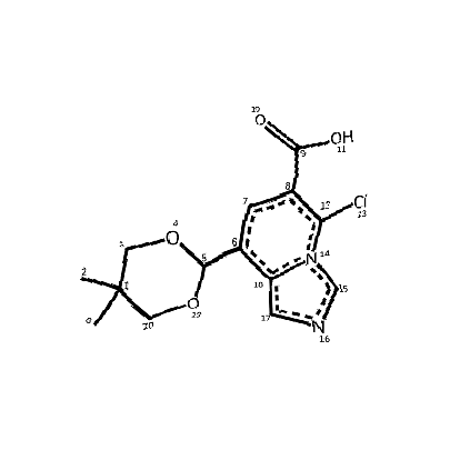 CC1(C)COC(c2cc(C(=O)O)c(Cl)n3cncc23)OC1